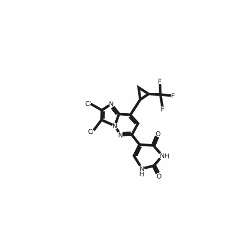 O=c1[nH]cc(-c2cc(C3CC3C(F)(F)F)c3nc(Cl)c(Cl)n3n2)c(=O)[nH]1